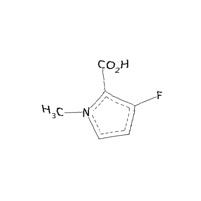 Cn1ccc(F)c1C(=O)O